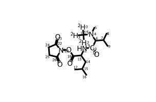 [2H]C([2H])([2H])[15N](C)C(C(C)C)[13C](=O)NC(CC(C)C)C(=O)ON1C(=O)CCC1=O